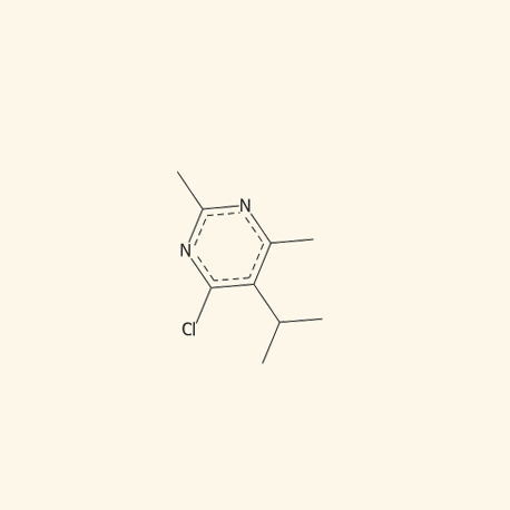 Cc1nc(C)c(C(C)C)c(Cl)n1